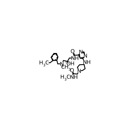 CCc1ccccc1CN(C)C[C@@H](O)CNC(=O)c1cc(NC2CCN(CC(=O)NC)CC2)ncn1